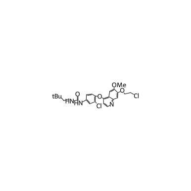 COc1cc2c(Oc3ccc(NC(=O)NCCC(C)(C)C)cc3Cl)ccnc2cc1OCCCl